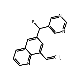 C=Cc1cc(C(F)c2cncnc2)cc2cccnc12